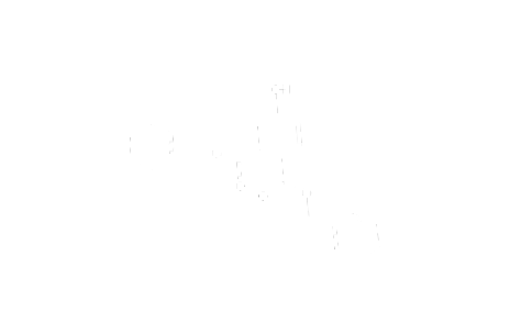 O=C(OCc1ccccc1)c1ccc(O)cc1C(=O)OCc1ccccc1